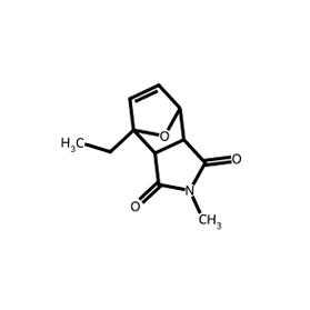 CCC12C=CC(O1)C1C(=O)N(C)C(=O)C12